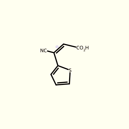 N#C/C(=C/C(=O)O)c1cccs1